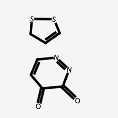 C1=CSSC1.O=C1C=CN=NC1=O